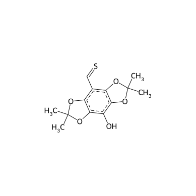 CC1(C)Oc2c(O)c3c(c(C=S)c2O1)OC(C)(C)O3